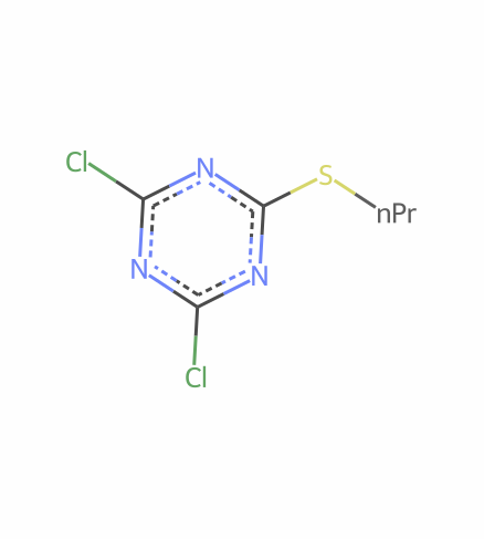 CCCSc1nc(Cl)nc(Cl)n1